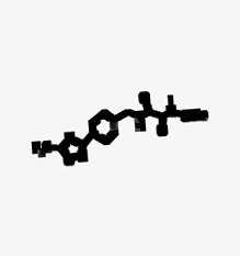 CON(C)C(=O)C(=O)NCc1ccc(-c2noc(C(F)(F)F)n2)cc1